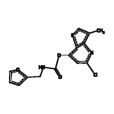 Cc1csc2c(OC(=O)NCc3ccco3)cc(Cl)nc12